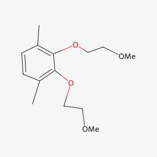 COCCOc1c(C)ccc(C)c1OCCOC